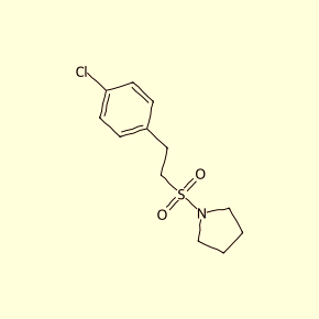 O=S(=O)(CCc1ccc(Cl)cc1)N1CCCC1